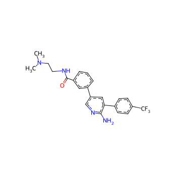 CN(C)CCNC(=O)c1cccc(-c2cnc(N)c(-c3ccc(C(F)(F)F)cc3)c2)c1